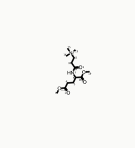 COC(=O)CCC(NC(=O)CC[N+](C)(C)C)C(=O)OC